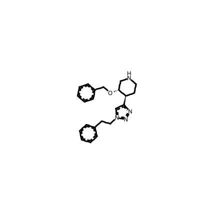 c1ccc(CCn2cc([C@@H]3CCNC[C@H]3OCc3ccccc3)nn2)cc1